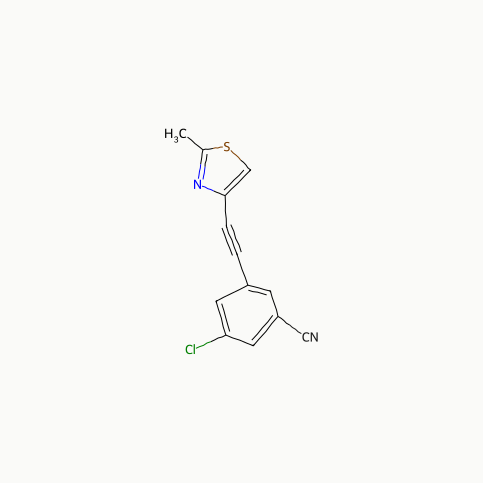 Cc1nc(C#Cc2cc(Cl)cc(C#N)c2)cs1